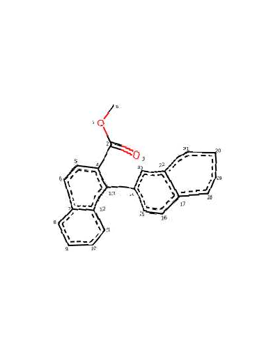 COC(=O)c1ccc2ccccc2c1-c1ccc2ccccc2c1